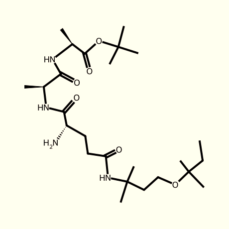 CCC(C)(C)OCCC(C)(C)NC(=O)CC[C@H](N)C(=O)N[C@@H](C)C(=O)N[C@@H](C)C(=O)OC(C)(C)C